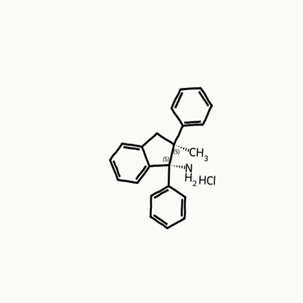 C[C@@]1(c2ccccc2)Cc2ccccc2[C@]1(N)c1ccccc1.Cl